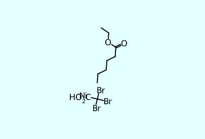 CCCCCC(=O)OCC.O=C(O)C(Br)(Br)Br.[Ni]